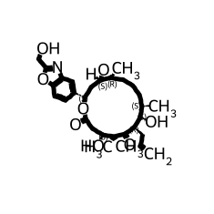 C=CC[C@H]1C(=O)C(C)(C)[C@@H](O)CC(=O)O[C@H](c2ccc3oc(CO)nc3c2)C[C@@H]2O[C@]2(C)CCC[C@H](C)[C@@H]1O